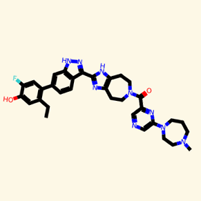 CCc1cc(O)c(F)cc1-c1ccc2c(-c3nc4c([nH]3)CCN(C(=O)c3cncc(N5CCCN(C)CC5)n3)CC4)n[nH]c2c1